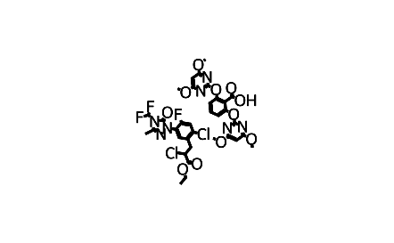 CCOC(=O)C(Cl)Cc1cc(-n2nc(C)n(C(F)F)c2=O)c(F)cc1Cl.COc1cc(OC)nc(Oc2cccc(Oc3nc(OC)cc(OC)n3)c2C(=O)O)n1